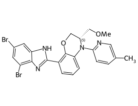 COC[C@H]1COc2c(-c3nc4c(Br)cc(Br)cc4[nH]3)cccc2N1c1ccc(C)cn1